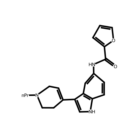 CCCN1CC=C(c2c[nH]c3ccc(NC(=O)c4ccco4)cc23)CC1